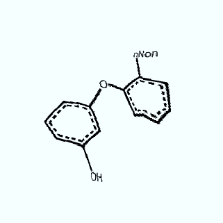 CCCCCCCCCc1ccccc1Oc1cccc(O)c1